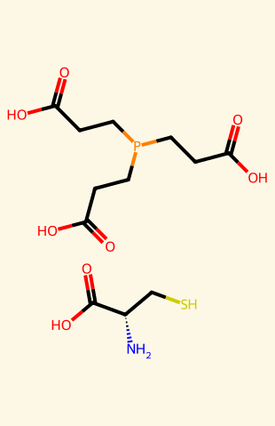 N[C@@H](CS)C(=O)O.O=C(O)CCP(CCC(=O)O)CCC(=O)O